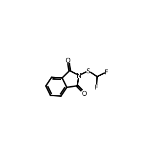 O=C1c2ccccc2C(=O)N1SC(F)F